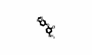 Nc1ccc(Oc2ccc3ncnn3c2)c(Cl)c1